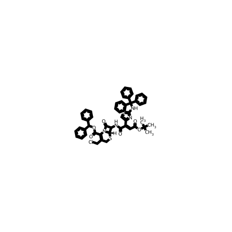 CC(C)(C)OC(=O)C=C(C(=O)NC1C(=O)N2C(C(=O)OC(c3ccccc3)c3ccccc3)=C(CCl)CS[C@@H]12)c1csc(NC(c2ccccc2)(c2ccccc2)c2ccccc2)n1